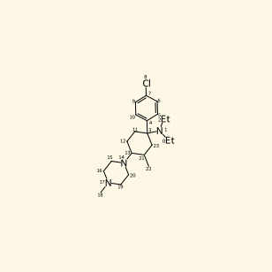 CCN(CC)C1(c2ccc(Cl)cc2)CCC(N2CCN(C)CC2)C(C)C1